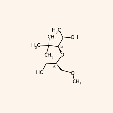 COC[C@@H](CO)O[C@H](C(C)O)C(C)(C)C